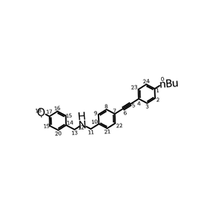 CCCCc1ccc(C#Cc2ccc(CNCc3ccc([O])cc3)cc2)cc1